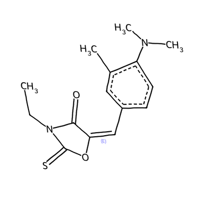 CCN1C(=O)/C(=C\c2ccc(N(C)C)c(C)c2)OC1=S